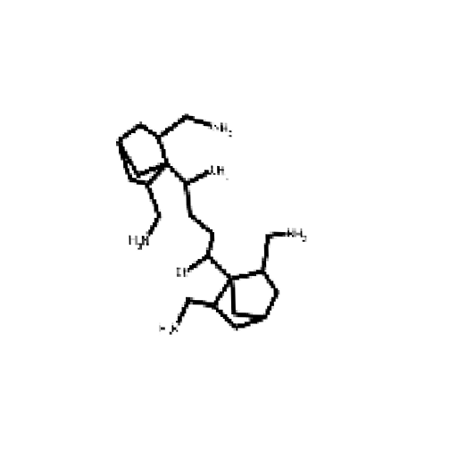 CCC(CCC(C)C12CC(CC1CN)CC2CN)C12CC(CC1CN)CC2CN